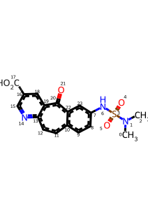 CN(C)S(=O)(=O)Nc1ccc2ccc3ncc(C(=O)O)cc3c(=O)c2c1